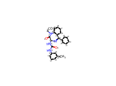 CCOC(=O)CN1C(=O)C(NC(=O)Nc2cccc(C)c2)N=C(c2ccccc2)c2ccccc21